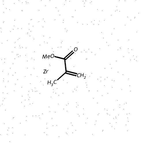 C=C(C)C(=O)OC.[Zr]